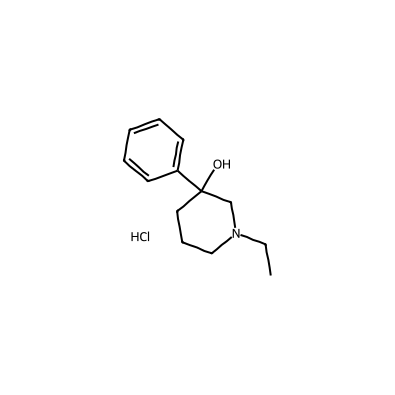 CCN1CCCC(O)(c2ccccc2)C1.Cl